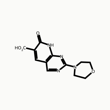 O=C(O)c1cc2cnc(N3CCOCC3)nc2[nH]c1=O